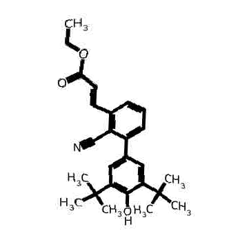 CCOC(=O)C=Cc1cccc(-c2cc(C(C)(C)C)c(O)c(C(C)(C)C)c2)c1C#N